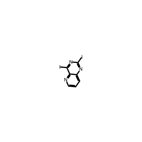 Ic1nc(I)c2ncccc2n1